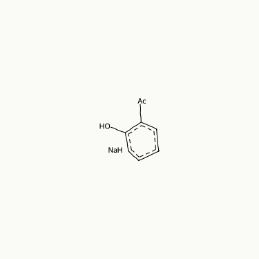 CC(=O)c1ccccc1O.[NaH]